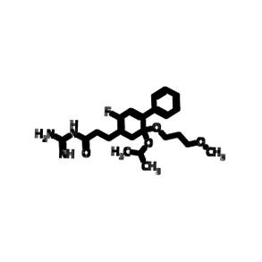 COCCCOC1(OC(C)C)CC(CCC(=O)NC(=N)N)=C(F)C=C1c1ccccc1